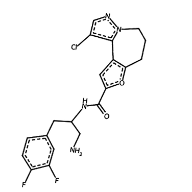 NCC(Cc1ccc(F)c(F)c1)NC(=O)c1cc2c(o1)CCCn1ncc(Cl)c1-2